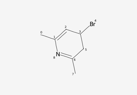 CC1=CC(Br)CC(C)=N1